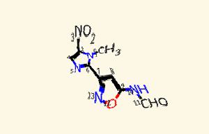 Cn1c([N+](=O)[O-])cnc1-c1cc(NC=O)on1